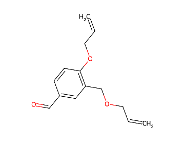 C=CCOCc1cc(C=O)ccc1OCC=C